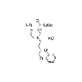 COC(=O)[C@@H]1CN(CCC2COc3ccccc3O2)CC[C@@H]1O.Cl